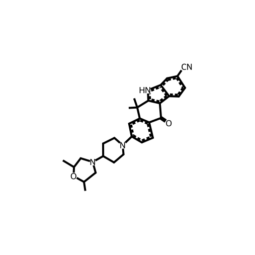 CC1CN(C2CCN(c3ccc4c(c3)C(C)(C)c3[nH]c5cc(C#N)ccc5c3C4=O)CC2)CC(C)O1